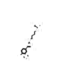 Cc1nc(NC(=O)CCCN[C@@H](CO)C(=O)O)sc1-c1ccc(Cl)c(S(C)(=O)=O)c1